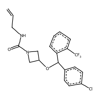 C=CCNC(=O)N1CC(OC(c2ccc(Cl)cc2)c2ccccc2C(F)(F)F)C1